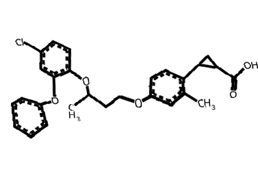 Cc1cc(OCCC(C)Oc2ccc(Cl)cc2Oc2ccccc2)ccc1C1CC1C(=O)O